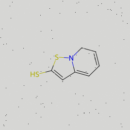 SC1=[C]C2=CC=CCN2S1